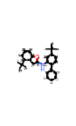 CC(C)(C)c1ccc(-c2ccccc2)c(Nc2cc3c(C(C)(C)C)cccc3o2)c1